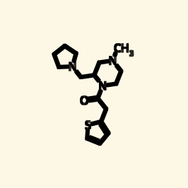 CN1CCN(C(=O)Cc2cccs2)C(CN2CCCC2)C1